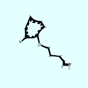 N#Cc1ccccc1OCCCCBr